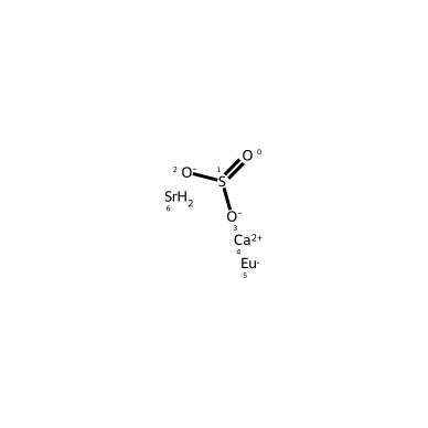 O=S([O-])[O-].[Ca+2].[Eu].[SrH2]